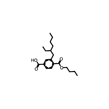 CCCCOC(=O)c1ccc(C(=O)O)cc1CC(CC)CCCC